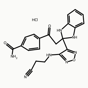 Cl.N#CCCNc1nonc1C1(CC(=O)c2ccc(C(N)=O)cc2)Nc2ccccc2N1